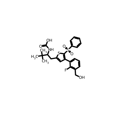 CC(C)(C)C(Cc1cc(-c2cccc(CO)c2F)c(S(=O)(=O)c2ccccc2)s1)NC(=O)O